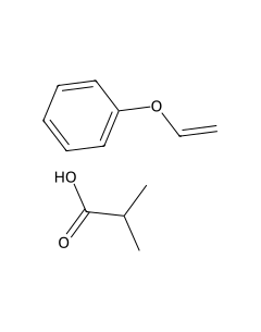 C=COc1ccccc1.CC(C)C(=O)O